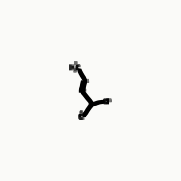 C[C]=CC(Cl)Cl